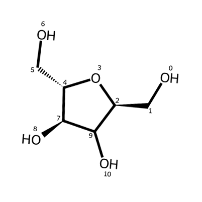 OC[C@@H]1O[C@@H](CO)[C@H](O)C1O